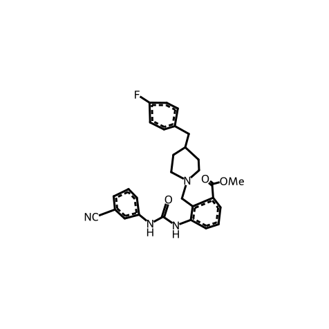 COC(=O)c1cccc(NC(=O)Nc2cccc(C#N)c2)c1CN1CCC(Cc2ccc(F)cc2)CC1